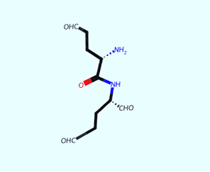 N[C@@H](CCC=O)C(=O)N[C@H](C=O)CCC=O